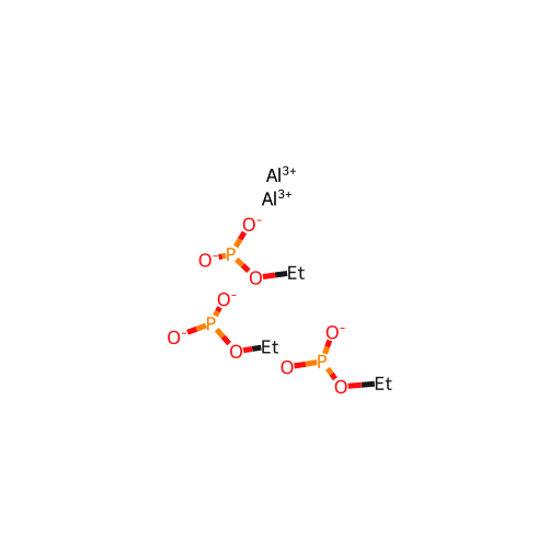 CCOP([O-])[O-].CCOP([O-])[O-].CCOP([O-])[O-].[Al+3].[Al+3]